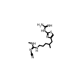 CN/C(=N/C#N)NCCCC(C)Cc1csc(NC(=N)N)n1